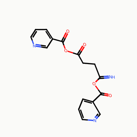 N=C(CCC(=O)OC(=O)c1cccnc1)OC(=O)c1cccnc1